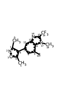 Cc1noc(C)c1-c1cc(I)c2c(c1)nc(C(F)(F)F)n2C